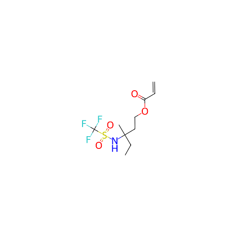 C=CC(=O)OCCC(C)(CC)NS(=O)(=O)C(F)(F)F